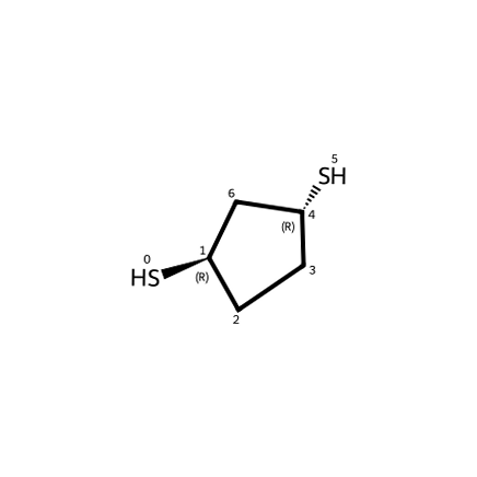 S[C@@H]1CC[C@@H](S)C1